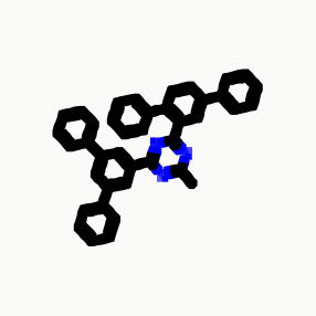 Cc1nc(-c2cc(-c3ccccc3)cc(-c3ccccc3)c2)nc(-c2cc(-c3ccccc3)ccc2-c2ccccc2)n1